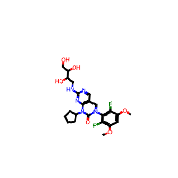 COc1cc(OC)c(F)c(N2Cc3cnc(NCC(O)C(O)CO)nc3N(C3CCCC3)C2=O)c1F